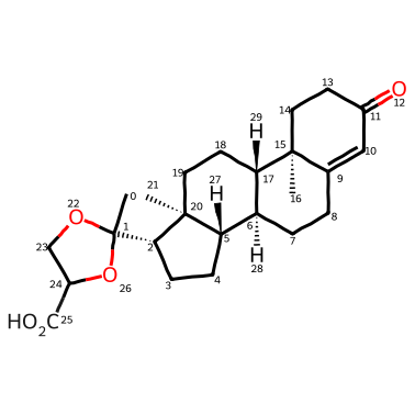 CC1([C@H]2CC[C@H]3[C@@H]4CCC5=CC(=O)CC[C@]5(C)[C@H]4CC[C@]23C)OCC(C(=O)O)O1